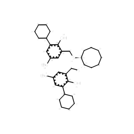 CC(C)(C)c1cc(CS[C@H]2CCCCCC[C@@H]2SCc2cc(C(C)(C)C)cc(C3CCCCC3)c2O)c(O)c(C2CCCCC2)c1